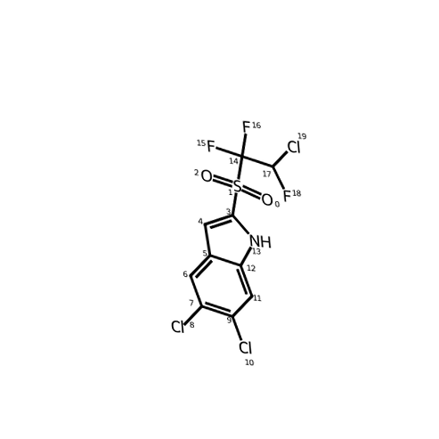 O=S(=O)(c1cc2cc(Cl)c(Cl)cc2[nH]1)C(F)(F)C(F)Cl